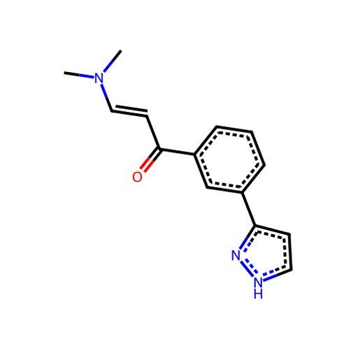 CN(C)C=CC(=O)c1cccc(-c2cc[nH]n2)c1